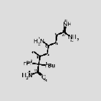 CCCCC(CCC)([C](C)CC(N)CCC(=N)N)C(N)=O